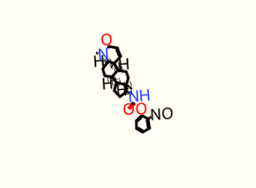 CN1C(=O)C=C[C@]2(C)[C@H]3CC[C@]4(C)[C@@H](NC(=O)Oc5ccccc5N=O)CC[C@H]4[C@@H]3CC[C@@H]12